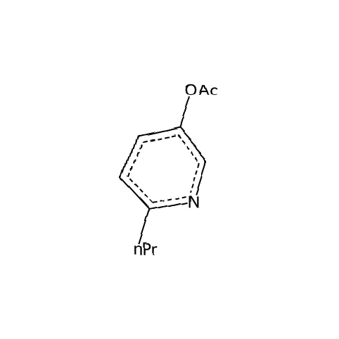 CCCc1ccc(OC(C)=O)cn1